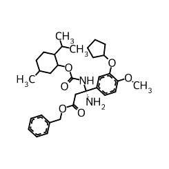 COc1ccc([C@@](N)(CC(=O)OCc2ccccc2)NC(=O)OC2CC(C)CCC2C(C)C)cc1OC1CCCC1